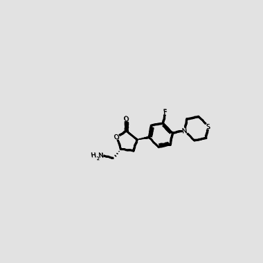 NC[C@H]1C[C@H](c2ccc(N3CCSCC3)c(F)c2)C(=O)O1